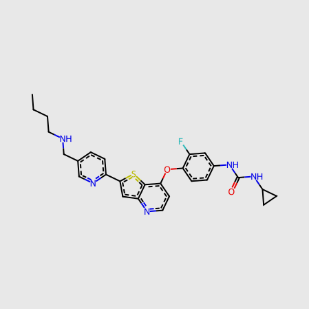 CCCCNCc1ccc(-c2cc3nccc(Oc4ccc(NC(=O)NC5CC5)cc4F)c3s2)nc1